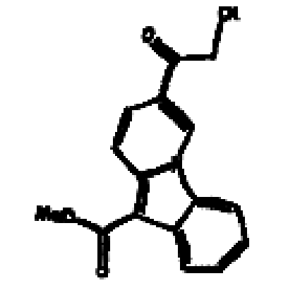 COC(=O)c1c2ccccc2n2cc(C(=O)CC#N)ccc12